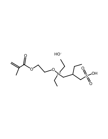 C=C(C)C(=O)OCCO[N+](CC)(CC)CC(CC)CS(=O)(=O)O.[OH-]